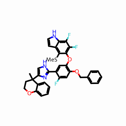 CSc1c(Oc2cc(-c3nc(C4(C)CCOc5ccccc54)c[nH]3)c(F)cc2OCc2ccccc2)c(F)c(F)c2[nH]ccc12